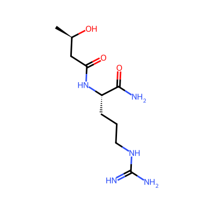 C[C@@H](O)CC(=O)N[C@@H](CCCNC(=N)N)C(N)=O